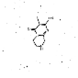 Cc1c(O)nc2n(c1=O)CCNC2